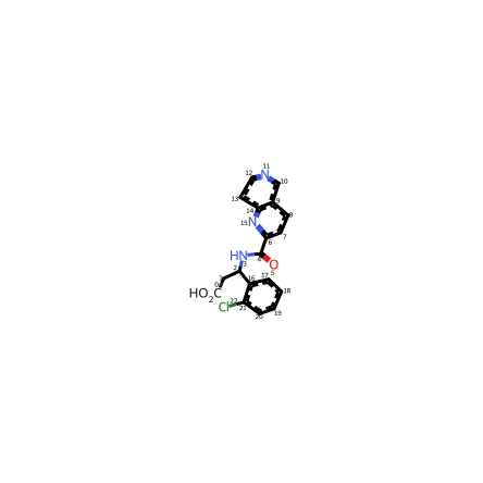 O=C(O)CC(NC(=O)c1ccc2cnccc2n1)c1ccccc1Cl